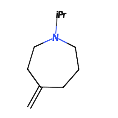 C=C1CCCN(C(C)C)CC1